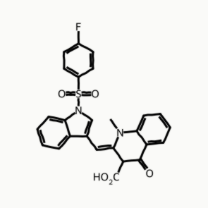 CN1C(=Cc2cn(S(=O)(=O)c3ccc(F)cc3)c3ccccc23)C(C(=O)O)C(=O)c2ccccc21